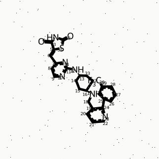 O=C1NC(=O)C(=Cc2ccnc(N[C@H]3CC[C@H](NCc4cccnc4-c4cccc(C(F)(F)F)c4)CC3)n2)S1